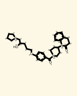 O=C(c1ccc(OCCCC(O)CN2CCCC2)cc1)N1CCC(N2C(=O)CCc3ccccc32)CC1